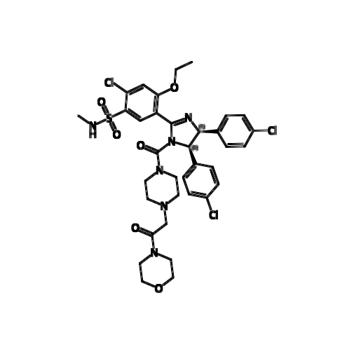 CCOc1cc(Cl)c(S(=O)(=O)NC)cc1C1=N[C@@H](c2ccc(Cl)cc2)[C@@H](c2ccc(Cl)cc2)N1C(=O)N1CCN(CC(=O)N2CCOCC2)CC1